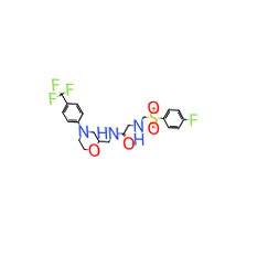 O=C(CNCS(=O)(=O)c1ccc(F)cc1)NCC1CN(c2ccc(C(F)(F)F)cc2)CCO1